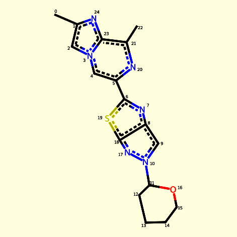 Cc1cn2cc(-c3nc4cn(C5CCCCO5)nc4s3)nc(C)c2n1